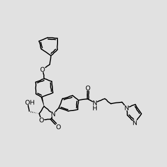 O=C(NCCCn1ccnc1)c1ccc(N2C(=O)O[C@H](CO)[C@H]2c2ccc(OCc3ccccc3)cc2)cc1